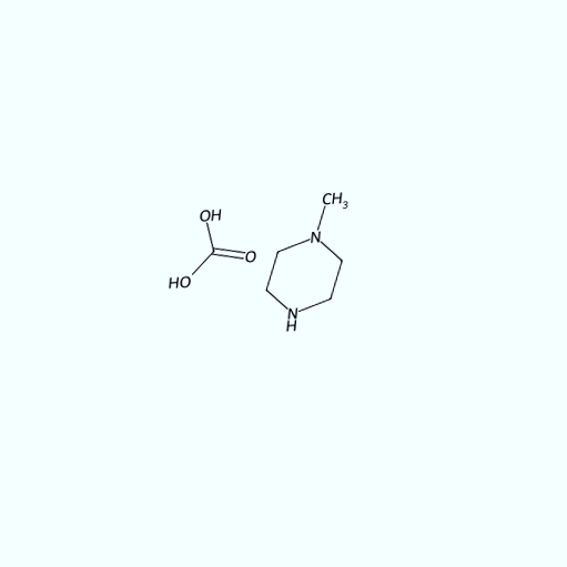 CN1CCNCC1.O=C(O)O